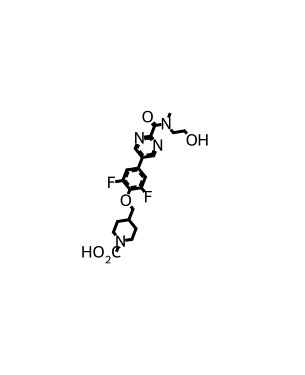 CN(CCO)C(=O)c1ncc(-c2cc(F)c(OCC3CCN(C(=O)O)CC3)c(F)c2)cn1